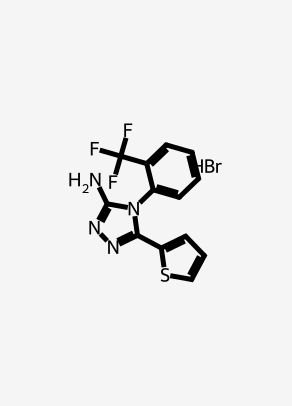 Br.Nc1nnc(-c2cccs2)n1-c1ccccc1C(F)(F)F